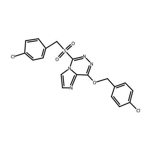 O=S(=O)(Cc1ccc(Cl)cc1)c1nnc(OCc2ccc(Cl)cc2)c2nccn12